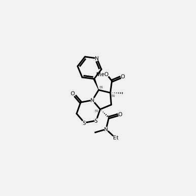 CCN(C)C(=O)[C@@]12C[C@](C)(C(=O)OC)[C@H](c3cccnc3)N1C(=O)CSS2